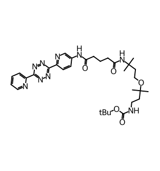 CC(C)(CCOC(C)(C)CCNC(=O)OC(C)(C)C)NC(=O)CCCC(=O)Nc1ccc(-c2nnc(-c3ccccn3)nn2)nc1